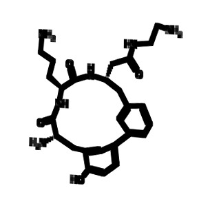 NCCC[C@@H]1NC(=O)[C@@H](N)Cc2cc(ccc2O)-c2cccc(c2)C[C@@H](CC(=O)NCCN)NC1=O